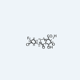 O=C(O)c1cc(=O)c(O)c2n1CCN(Cc1ccc(F)c(Cl)c1)C2=O